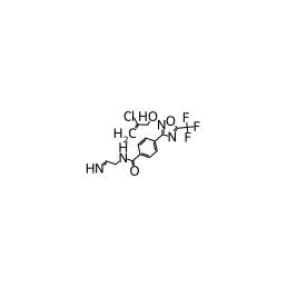 C=C(Cl)CO.N=CCNC(=O)c1ccc(-c2noc(C(F)(F)F)n2)cc1